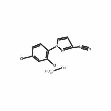 N#[N+]c1ccn(-c2ccc(Cl)cc2Cl)n1.O=S(=O)(O)O